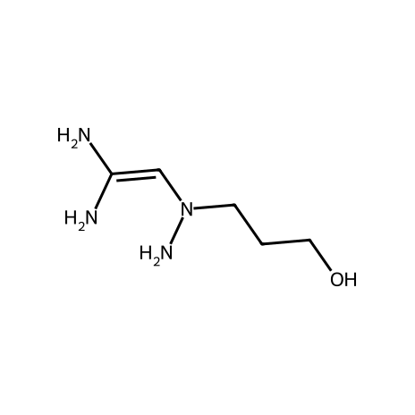 NC(N)=CN(N)CCCO